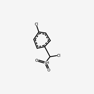 O=[SH](=O)C(Cl)c1ccc(Cl)cc1